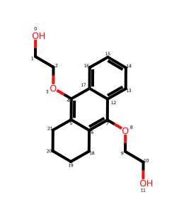 OCCOc1c2c(c(OCCO)c3ccccc13)CCCC2